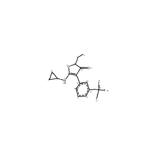 CCC1OC(NC2CC2)=C(c2cccc(C(F)(F)F)c2)C1=O